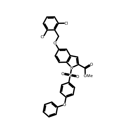 COC(=O)c1cc2cc(OCc3c(Cl)cccc3Cl)ccc2n1S(=O)(=O)c1ccc(Oc2ccccc2)cc1